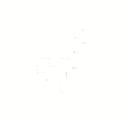 CN(C)/C=C1/C(=O)N(C(=O)OC(C)(C)C)C2Cc3ccccc3C12